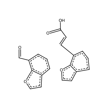 O=C(O)C=Cc1cccc2ccoc12.O=Cc1cccc2ccoc12